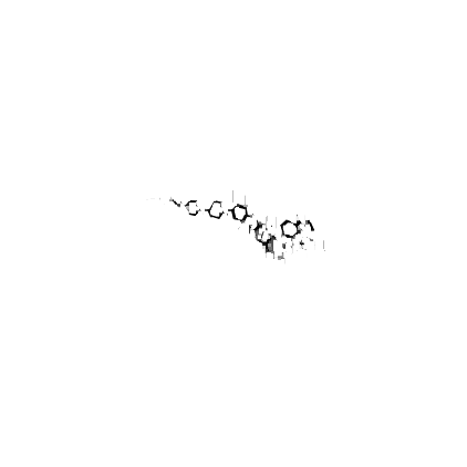 CCc1cc(Nc2ncc(Br)c(Nc3ccc4nccnc4c3P(C)(C)=O)n2)c(OC)cc1N1CCC(N2CCN(CCO)CC2)CC1